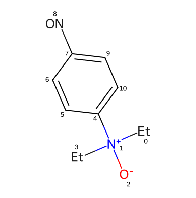 CC[N+]([O-])(CC)c1ccc(N=O)cc1